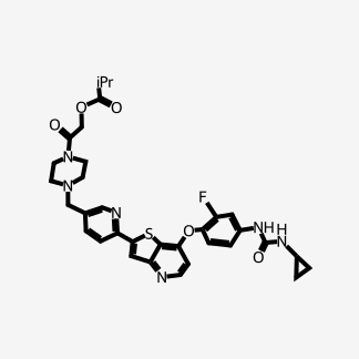 CC(C)C(=O)OCC(=O)N1CCN(Cc2ccc(-c3cc4nccc(Oc5ccc(NC(=O)NC6CC6)cc5F)c4s3)nc2)CC1